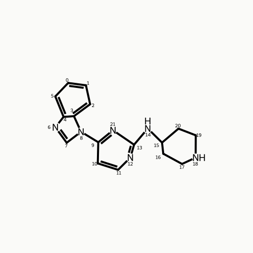 c1ccc2c(c1)ncn2-c1ccnc(NC2CCNCC2)n1